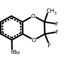 CC(C)(C)c1cccc2c1OC(F)(F)C(C)(F)O2